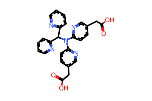 O=C(O)Cc1ccc(N(c2ccc(CC(=O)O)cn2)C(c2ccccn2)c2ccccn2)nc1